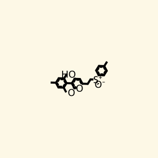 Cc1ccc([S+]([O-])CCc2cc(O)c(-c3c(C)cc(C)cc3C)c(=O)o2)cc1